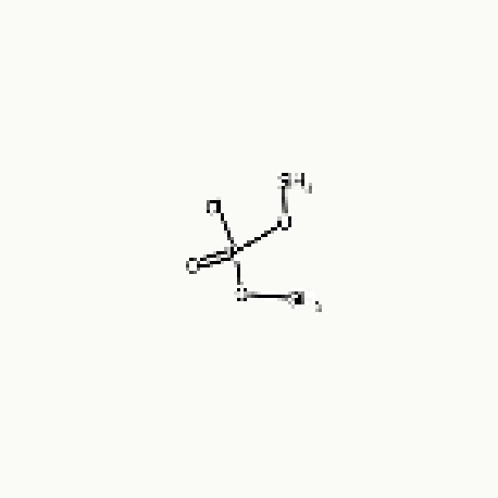 O=P(Cl)(O[SiH3])O[SiH3]